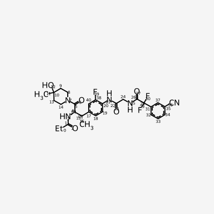 CCC(=O)N[C@@H](C(=O)N1CCC(C)(O)CC1)[C@@H](C)c1ccc(NC(=O)CNC(=O)C(F)(F)c2cccc(C#N)c2)c(F)c1